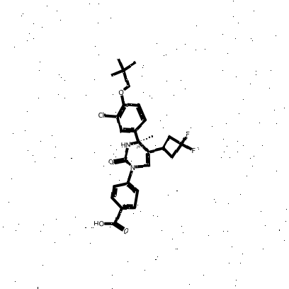 CC(C)(C)COc1ccc([C@]2(C)NC(=O)N(c3ccc(C(=O)O)cc3)C=C2C2CC(F)(F)C2)cc1Cl